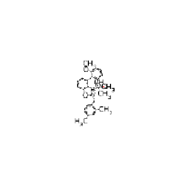 COc1cccc(OC)c1-c1cccc2c1[P@@](C(C)(C)C)[C@H](Cc1ccc(C)cc1C)O2